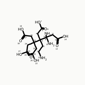 NCCC(CC(=O)O)(C(N)(N)CC(=O)O)C(CC(=O)O)(CC(=O)O)CC(=O)O